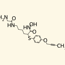 CC#CCOc1ccc(SC(CCCCNC(=O)CN)C(=O)NO)cc1